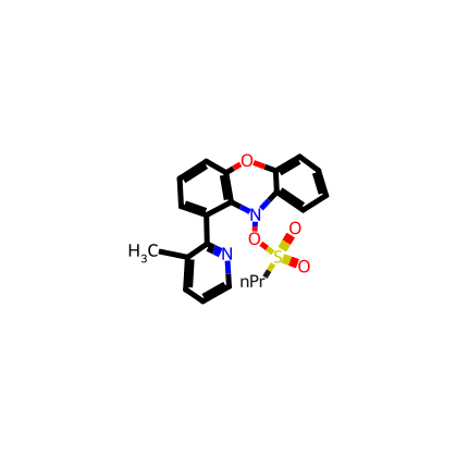 CCCS(=O)(=O)ON1c2ccccc2Oc2cccc(-c3ncccc3C)c21